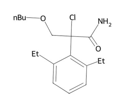 CCCCOCC(Cl)(C(N)=O)c1c(CC)cccc1CC